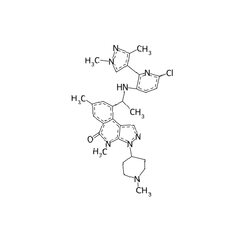 Cc1cc(C(C)Nc2ccc(Cl)nc2-c2cn(C)nc2C)c2c(c1)c(=O)n(C)c1c2cnn1C1CCN(C)CC1